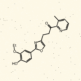 CCOc1cc(-c2nc(CCC(=O)c3ncccc3C)co2)ccc1O